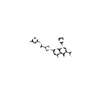 Cc1cc(NC(=O)C2CN(c3cc(C)c4c(=O)c(C(=O)O)cn(-c5nccs5)c4n3)C2)n[nH]1